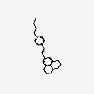 CCCC[n+]1ccc(/C=C/c2cc3c4c(c2)CCCN4CCC3)cc1